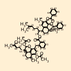 CC(=O)Oc1cc(Cc2ccccc2C(=O)OCC(CCC=C(C)C)[C@@H]2CC[C@@H](C)c3c2cc(C)c(OC(=O)c2ccccc2)c3OC(O)c2ccccc2)c2c3c1[C@H](C)CC[C@H]3[C@H](CCC=C(C)C)C(OC(C)=O)O2